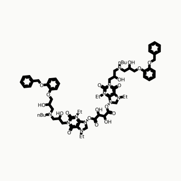 CCCCN(CC(O)COc1ccccc1OCc1ccccc1)CC(O)Cn1c(=O)c2c(n(CC)c1=O)N(OC(=O)C(O)C(O)C(=O)ON1CN(CC)c3c1n(CC)c(=O)n(CC(O)CN(CCCC)CC(O)COc1ccccc1OCc1ccccc1)c3=O)CN2CC